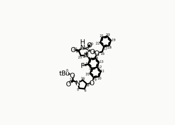 CC(C)(C)OC(=O)N1CC[C@H](Oc2ccc3cc(OCc4ccccc4)c(N4CC(=O)NS4(=O)=O)c(F)c3c2)C1